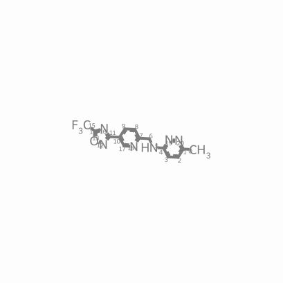 Cc1ccc(NCc2ccc(-c3noc(C(F)(F)F)n3)cn2)nn1